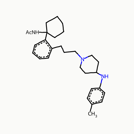 CC(=O)NC1(c2ccccc2CCCN2CCC(Nc3ccc(C)cc3)CC2)CCCCC1